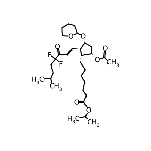 CC(=O)O[C@H]1C[C@@H](OC2CCCCO2)[C@H](/C=C/C(=O)C(F)(F)CCC(C)C)[C@H]1CCCCCCC(=O)OC(C)C